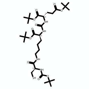 CC(C)(C)OC(=O)CC[C@H](NC(=O)N[C@@H](CCCCNC(=O)[C@H](CS)NC(=O)OC(C)(C)C)C(=O)OC(C)(C)C)C(=O)OC(C)(C)C